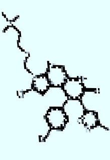 Cc1cc(-c2c(-c3ccc(Br)cc3)c3c(cnc4c3cc(Cl)n4COCCS(C)(C)C)[nH]c2=O)on1